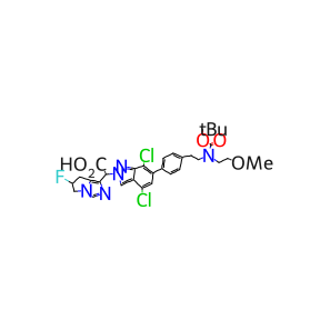 COCCN(CCc1ccc(-c2cc(Cl)c3cn(C(C(=O)O)c4ncn5c4CC(F)C5)nc3c2Cl)cc1)C(=O)OC(C)(C)C